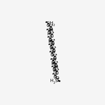 C[SiH2]OO[SiH](C)O[SiH](C)O[SiH](C)O[SiH](C)O[SiH](C)O[SiH](C)O[SiH](C)O[SiH](C)O[SiH](C)O[SiH](C)O[SiH](C)O[SiH](C)O[SiH](C)O[SiH](C)O[SiH2]C